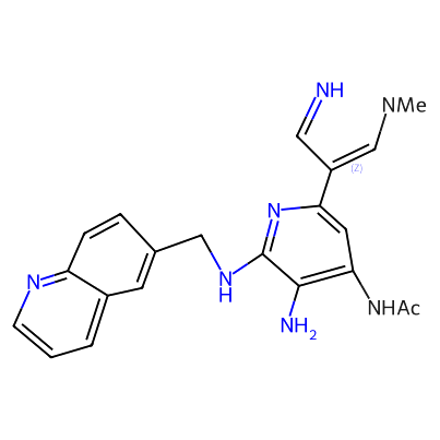 CN/C=C(\C=N)c1cc(NC(C)=O)c(N)c(NCc2ccc3ncccc3c2)n1